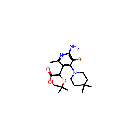 Cc1nc(N)c(Br)c(N2CCC(C)(C)CC2)c1C(OC(C)(C)C)C(=O)O